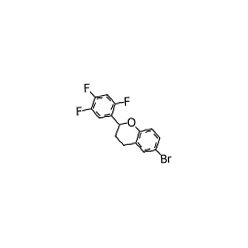 Fc1cc(F)c(C2CCc3cc(Br)ccc3O2)cc1F